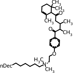 CCCCCCCCCCCCCCCC[N+](C)(C)CCOc1ccc(C(=O)C(C)C(C)CC(=O)C2C(C)=CCCC2(C)C)cc1